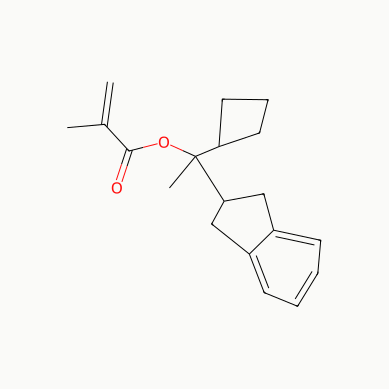 C=C(C)C(=O)OC(C)(C1CCC1)C1Cc2ccccc2C1